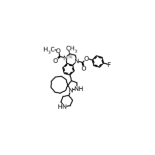 COC(=O)N1c2ccc(C3CNN(C4CCNCC4)C34CCCCCCCC4)cc2N(C(=O)Oc2ccc(F)cc2)C[C@@H]1C